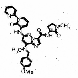 COc1ccc(CN(C)c2cc(Nc3cccn(-c4ccccn4)c3=O)nn3c(C(=O)N[C@H]4CCN(C)C4=O)cnc23)cc1